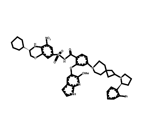 COc1nc2[nH]ccc2cc1Oc1cc(N2CCC3(CC2)CC(N2CCC[C@H]2c2ccccc2C(C)C)C3)ccc1C(=O)NS(=O)(=O)c1cc2c(c([N+](=O)[O-])c1)N[C@@H](C1CCCCC1)CO2